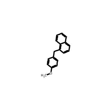 COc1ccc(Cc2cccc3[c]cccc23)cc1